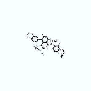 C#C/C=C\c1c(Cl)ccc(S(=O)(=O)Nc2cc(C)c(-c3ccc4c(c3)CCCO4)c(C(OC(C)(C)C)C(=O)N=O)c2C)c1C